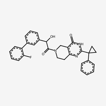 O=C(C(O)c1cccc(-c2ccccc2F)c1)N1CCc2nc(C3(c4ccccc4)CC3)[nH]c(=O)c2C1